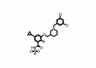 CS(=O)(=O)NC(=O)c1cc(C2CC2)cc(OCC2CCCN(Cc3cc(Cl)cc(Cl)c3)C2)c1F